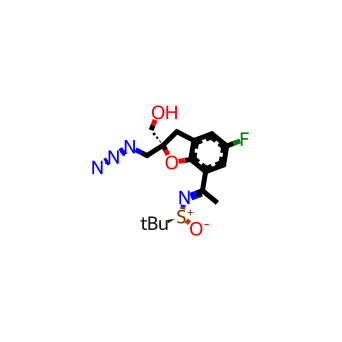 CC(=N[S@+]([O-])C(C)(C)C)c1cc(F)cc2c1O[C@@](CO)(CN=[N+]=[N-])C2